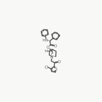 O=C(C[N+]12CCC(CC1)[C@@H](OC(=O)[C@H](Nc1ccccc1)c1ccccc1)C2)c1sccc1Cl